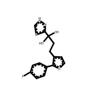 OC(O)(CCc1ccoc1-c1ccc(F)cc1)c1nc[nH]n1